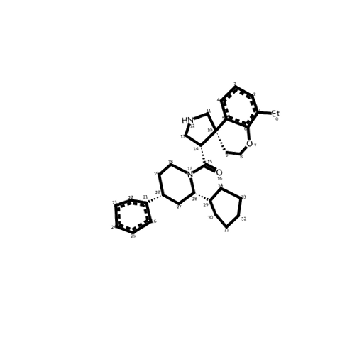 CCc1cccc2c1OCC[C@]21CNC[C@H]1C(=O)N1CC[C@@H](c2ccccc2)C[C@H]1C1CCCCC1